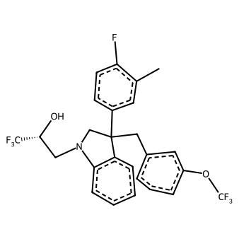 Cc1cc(C2(Cc3cccc(OC(F)(F)F)c3)CN(C[C@@H](O)C(F)(F)F)c3ccccc32)ccc1F